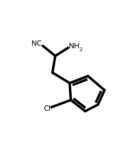 N#CC(N)Cc1ccccc1Cl